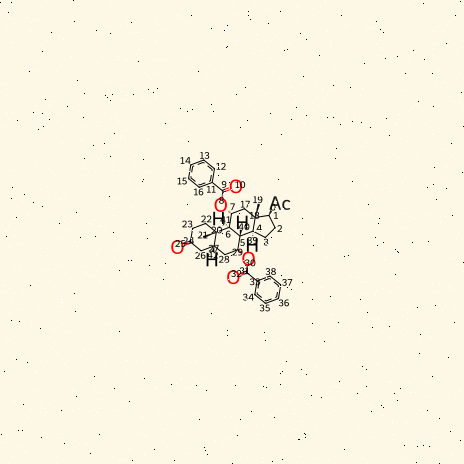 CC(=O)[C@H]1CC[C@H]2[C@H]3[C@H]([C@H](OC(=O)c4ccccc4)C[C@]12C)[C@@]1(C)CCC(=O)C[C@H]1C[C@@H]3OC(=O)c1ccccc1